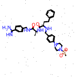 C[C@H](NC(=O)[C@@H](CCc1ccccc1)NCc1ccc(N2CCN(S(C)(=O)=O)CC2)cc1)C(=O)NCc1ccc(C(=N)N)cc1